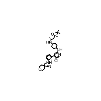 C[C@@H](CC(=O)OC(C)(C)C)NC1CCC(Nc2cc(-c3cccc(NCC4(C#N)CCOCC4)n3)c(Cl)cn2)CC1